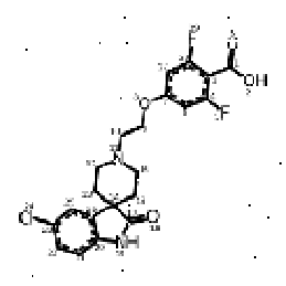 O=C(O)c1c(F)cc(OCCN2CCC3(CC2)C(=O)Nc2ccc(Cl)cc23)cc1F